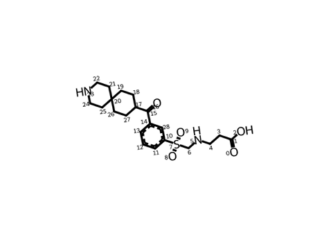 O=C(O)CCNCS(=O)(=O)c1cccc(C(=O)C2CCC3(CCNCC3)CC2)c1